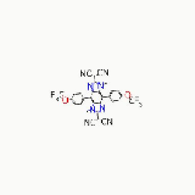 Cn1c(=C(C#N)C#N)nc2c(-c3ccc(OC(F)(F)F)cc3)c3c(nc(=C(C#N)C#N)n3C)c(-c3ccc(OC(F)(F)F)cc3)c21